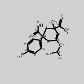 CC1(C(=O)O)C=C(OC(F)F)CC(C(=O)O)(c2ccc(F)cc2)C1